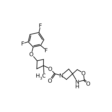 CC1(OC(=O)N2CC3(COC(=O)N3)C2)CC(Oc2c(F)cc(F)cc2F)C1